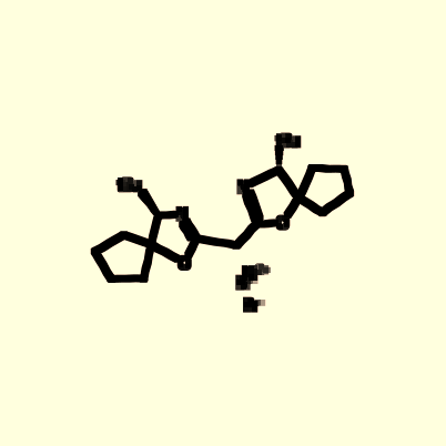 CC(C)(C)[C@H]1N=C(CC2=N[C@H](C(C)(C)C)C3(CCCC3)O2)OC12CCCC2.[Br-].[Br-].[Ni+2]